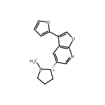 CN1CCC[C@H]1c1cnc2occ(-c3ccco3)c2c1